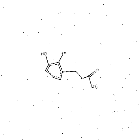 NC(=O)CCc1cccc(O)c1O